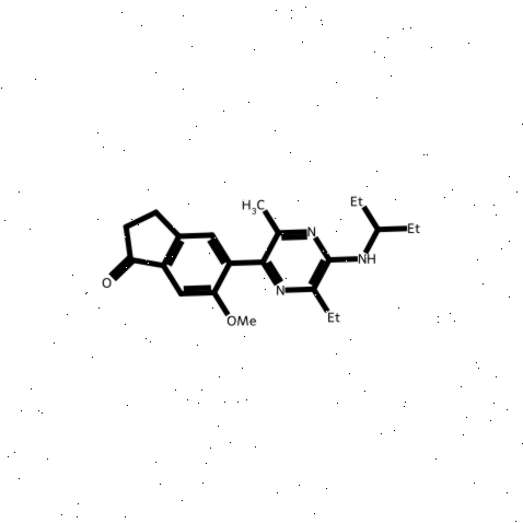 CCc1nc(-c2cc3c(cc2OC)C(=O)CC3)c(C)nc1NC(CC)CC